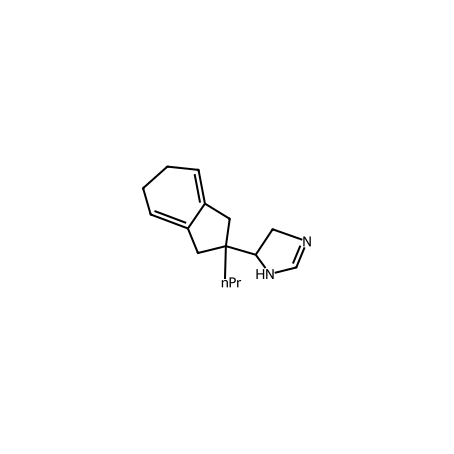 CCCC1(C2CN=CN2)CC2=CCCC=C2C1